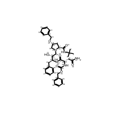 CC(C)(C)NC(=O)[C@@H]1C[C@@H](OCc2ccccc2)CN1C[C@@H](O)[C@H](Cc1ccccc1)NC(=O)[C@H](CC(N)=O)NC(=O)OCc1ccccc1